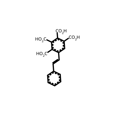 O=C(O)c1cc(C=Cc2ccccc2)c(C(=O)O)c(C(=O)O)c1C(=O)O